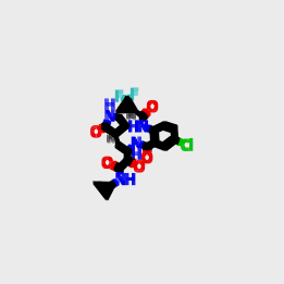 O=C(NC1CC1)C(=O)C(C[C@@H]1CCNC1=O)NC(=O)c1cc(Cl)ccc1NC(=O)[C@H]1CC1(F)F